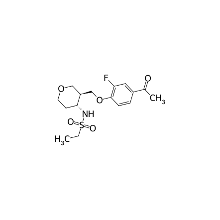 CCS(=O)(=O)N[C@@H]1CCOC[C@H]1COc1ccc(C(C)=O)cc1F